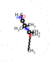 CCCCCCCCCCOc1ccc(/N=N/C2=C(CC)C=C(c3ccc(NC(C)=O)cc3)CC2CC)cc1C(C)C